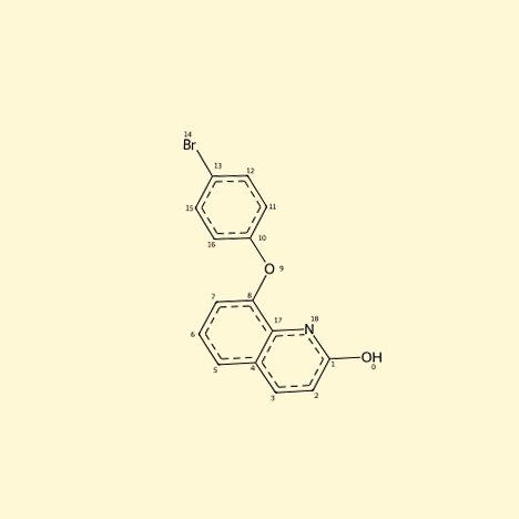 Oc1ccc2cccc(Oc3ccc(Br)cc3)c2n1